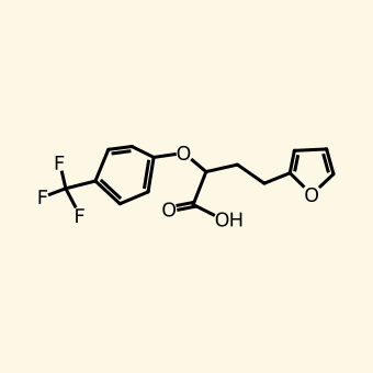 O=C(O)C(CCc1ccco1)Oc1ccc(C(F)(F)F)cc1